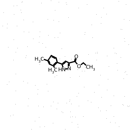 CCOC(=O)c1cc(-c2ccc(C)cc2C)[nH]n1